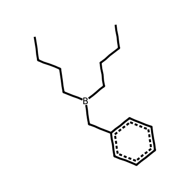 CCCCB(CCCC)Cc1ccccc1